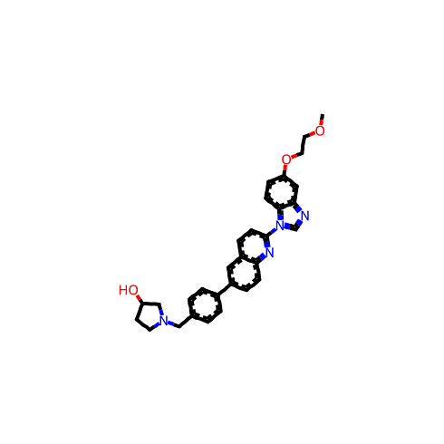 COCCOc1ccc2c(c1)ncn2-c1ccc2cc(-c3ccc(CN4CCC(O)C4)cc3)ccc2n1